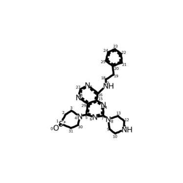 [O-][S+]1CCN(c2nc(N3CCNCC3)nc3c(NCCc4ccccc4)ncnc23)CC1